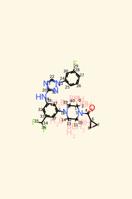 BC1(B)N(C(=O)C2CC2)C(B)(B)C(B)(B)N(c2cc(Nc3ncn(-c4cccc(F)c4)n3)cc(C(F)F)c2)C1(B)B